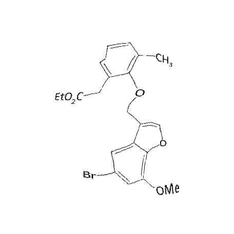 CCOC(=O)Cc1cccc(C)c1OCc1coc2c(OC)cc(Br)cc12